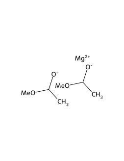 COC(C)[O-].COC(C)[O-].[Mg+2]